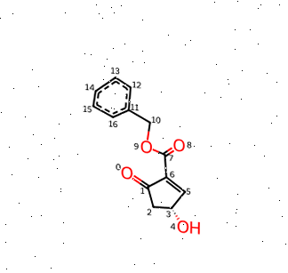 O=C1C[C@@H](O)C=C1C(=O)OCc1ccccc1